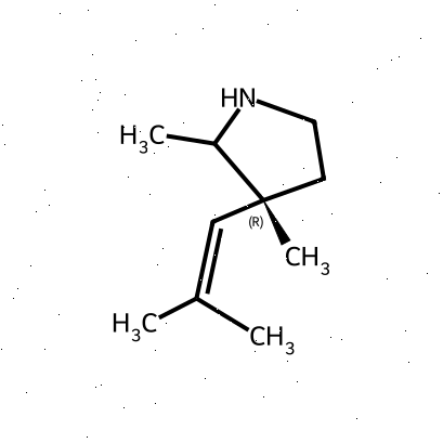 CC(C)=C[C@@]1(C)CCNC1C